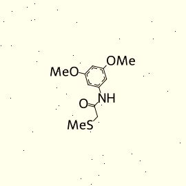 COc1cc(NC(=O)CSC)cc(OC)c1